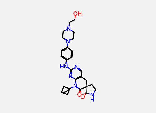 O=C1NCC[C@@]12Cc1cnc(Nc3ccc(N4CCN(CCO)CC4)cc3)nc1N(C13CC(C1)C3)C2=O